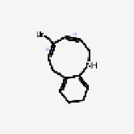 BrC1=C/CC2=CCCC=C2NC/C=C\1